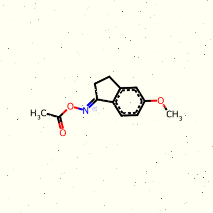 COc1ccc2c(c1)CC/C2=N\OC(C)=O